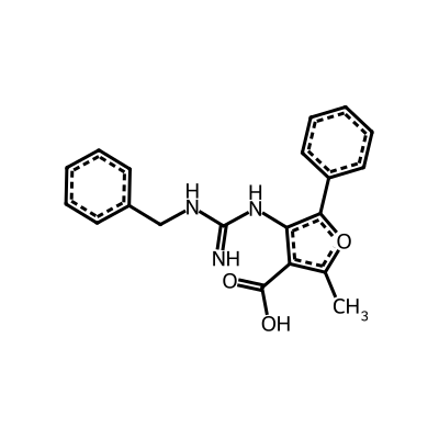 Cc1oc(-c2ccccc2)c(NC(=N)NCc2ccccc2)c1C(=O)O